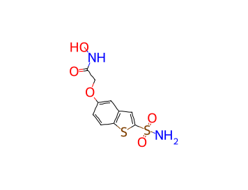 NS(=O)(=O)c1cc2cc(OCC(=O)NO)ccc2s1